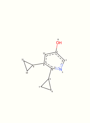 Oc1cnc(C2CC2)c(C2CC2)c1